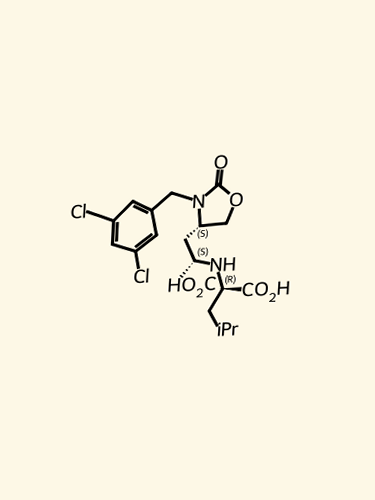 CC(C)C[C@@H](N[C@@H](C[C@H]1COC(=O)N1Cc1cc(Cl)cc(Cl)c1)C(=O)O)C(=O)O